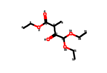 CCOC(=O)C(C)C(=O)C(OCC)OCC